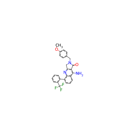 COc1ccc(CN2Cc3nc4c(-c5ccccc5C(F)(F)F)cccc4c(N)c3C2=O)cc1